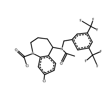 CC(=O)N(Cc1cc(C(F)(F)F)cc(C(F)(F)F)c1)C1CCCN(C(=O)Cl)c2cc(Cl)ccc21